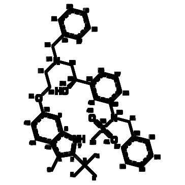 Cc1c(C(C)(C)C)[nH]c2cc(OCCN(Cc3ccccc3)C[C@H](O)c3cccc(N(Cc4ccccc4)S(C)(=O)=O)c3)ccc12